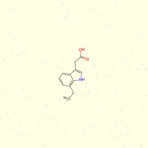 CCc1cccc2c(CC(=O)O)c[nH]c12